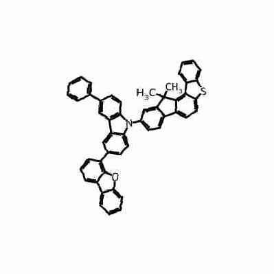 CC1(C)c2cc(-n3c4ccc(-c5ccccc5)cc4c4cc(-c5cccc6c5oc5ccccc56)ccc43)ccc2-c2ccc3sc4ccccc4c3c21